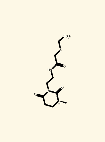 C[C@H]1CCC(=O)N(CCNC(=O)CSCC(=O)O)C1=O